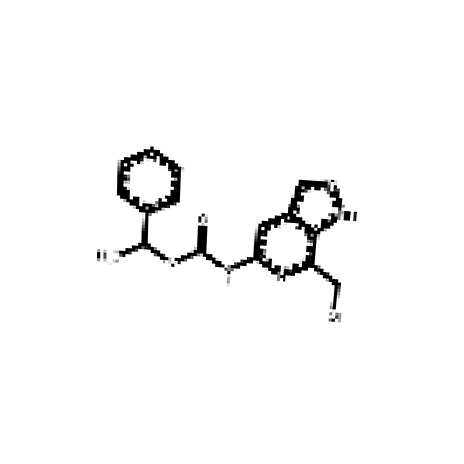 CC(NC(=O)Nc1cc2cn[nH]c2c(CO)n1)c1ccccc1